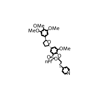 CCCS(=O)(=O)c1cc([C@@H]2CC[C@@H](c3cc(OC)c(OC)c(OC)c3)O2)cc(OC)c1OCCSc1ccncc1